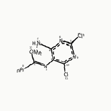 CCCC(=Nc1c(N)nc(Cl)nc1Cl)OC